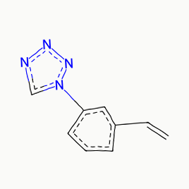 C=Cc1cccc(-n2cnnn2)c1